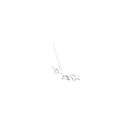 CCCCCCCCCCCCCCCCCCOC[C@H](COP(=O)(O)OC1[C@H]2O[C@@](C#N)(c3ccc4c(N)ncnn34)[C@H](O)[C@@]12O)Oc1cc(OC)c(C#N)c(OC)c1